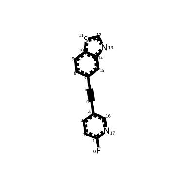 Fc1ccc(C#Cc2ccc3scnc3c2)cn1